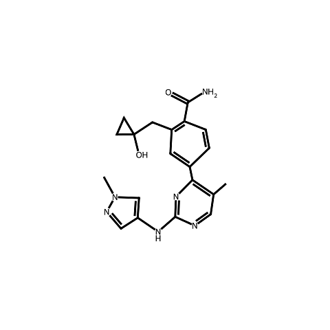 Cc1cnc(Nc2cnn(C)c2)nc1-c1ccc(C(N)=O)c(CC2(O)CC2)c1